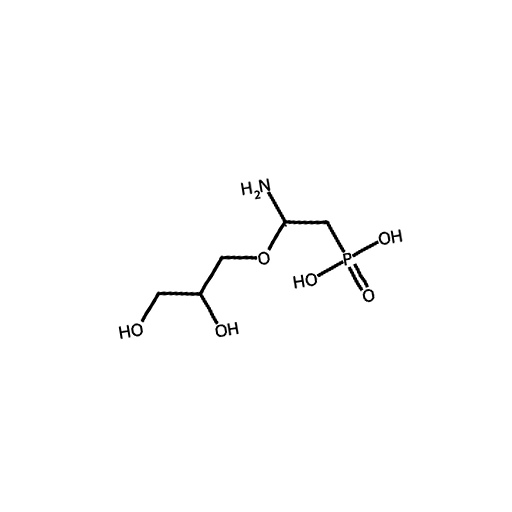 N[C](CP(=O)(O)O)OCC(O)CO